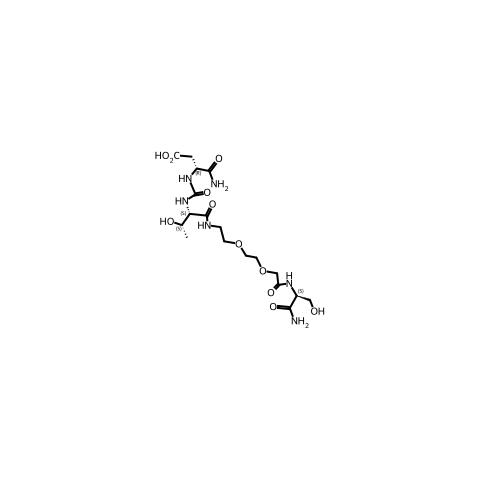 C[C@H](O)[C@H](NC(=O)N[C@H](CC(=O)O)C(N)=O)C(=O)NCCOCCOCC(=O)N[C@@H](CO)C(N)=O